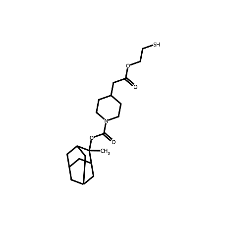 CC1(OC(=O)N2CCC(CC(=O)OCCS)CC2)C2CC3CC(C2)CC1C3